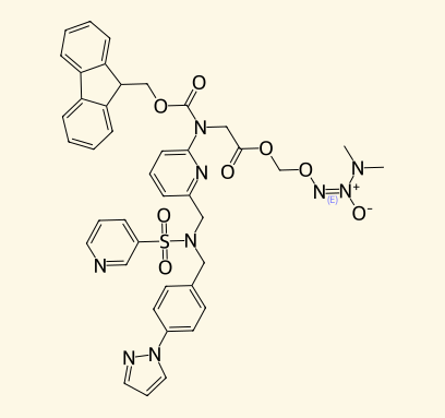 CN(C)/[N+]([O-])=N\OCOC(=O)CN(C(=O)OCC1c2ccccc2-c2ccccc21)c1cccc(CN(Cc2ccc(-n3cccn3)cc2)S(=O)(=O)c2cccnc2)n1